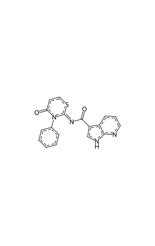 O=C(/N=c1\sccc(=O)n1-c1ccccc1)c1c[nH]c2ncccc12